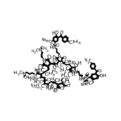 CCOC(=O)C(C(CC(C)(C)C1C(=O)OC(=O)C1C)C(=O)O)C(C)(C)CC(C(=O)O)C(C(=O)NCCCN(C)C)C(C)(C)CC1C(=O)N(CCN(C)C)C(=O)C1C(C)(C)CC1C(=O)N(CCCNS(=O)(=O)c2cc(C(=O)c3ccc(C)cc3)c(O)cc2OC)C(=O)C1C(C)(C)CC(C(=O)O)C(C(=O)NCCCNS(=O)(=O)c1cc(C(=O)c2ccc(C)cc2)c(O)cc1OC)C(C)(C)CC